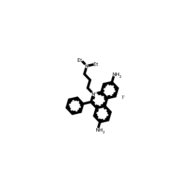 CCN(CC)CCC[n+]1c(-c2ccccc2)c2cc(N)ccc2c2ccc(N)cc21.[I-]